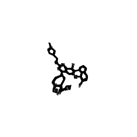 CN1CCC(COc2nc(N3CCN(C(=O)O)C(CC#N)C3)c3cnc(-c4cccc5ccc(F)c(Cl)c45)c(F)c3n2)C1